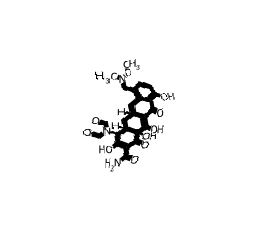 CON(C)Cc1ccc(O)c2c1C[C@H]1C[C@H]3[C@H](N(C=O)C=O)C(O)=C(C(N)=O)C(=O)[C@@]3(O)C(O)=C1C2=O